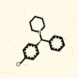 Clc1ccc([C@H](c2ccccc2)N2CCCCC2)cc1